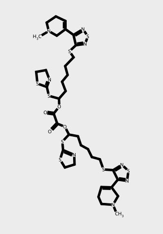 CN1CCC=C(c2nsnc2SCCCCCC(OC(=O)C(=O)OC(CCCCCSc2nsnc2C2=CCCN(C)C2)SC2=NCCS2)SC2=NCCS2)C1